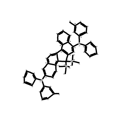 Cc1cccc(N(c2ccccc2)c2ccc3c4c(ccc3c2)-c2c(cc(N(c3ccccc3)c3cccc(C)c3)c3ccccc23)C4([Si](C)(C)C)[Si](C)(C)C)c1